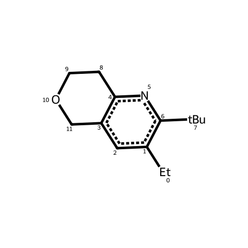 CCc1cc2c(nc1C(C)(C)C)CCOC2